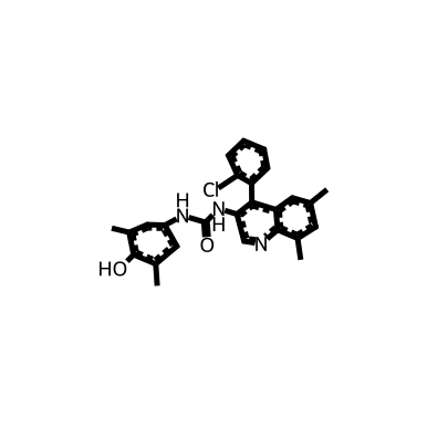 Cc1cc(C)c2ncc(NC(=O)Nc3cc(C)c(O)c(C)c3)c(-c3ccccc3Cl)c2c1